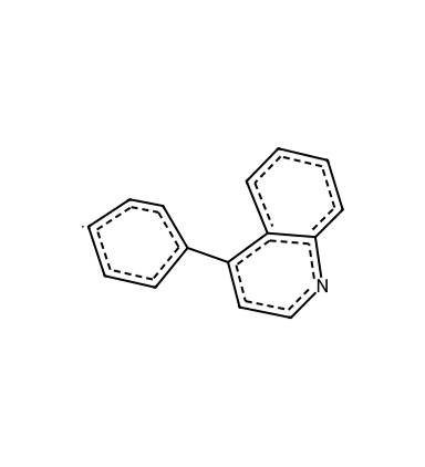 [c]1ccc(-c2ccnc3ccccc23)cc1